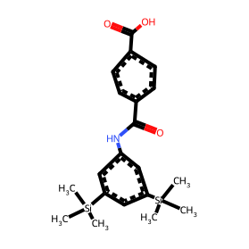 C[Si](C)(C)c1cc(NC(=O)c2ccc(C(=O)O)cc2)cc([Si](C)(C)C)c1